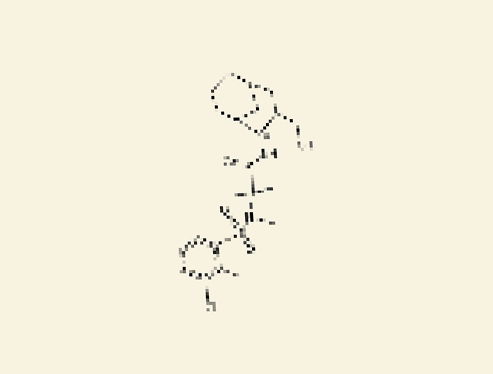 Cc1c(Cl)cccc1S(=O)(=O)N(C)C(C)(C)C(=O)N[C@H]1C(CO)CC2CCCC1C2